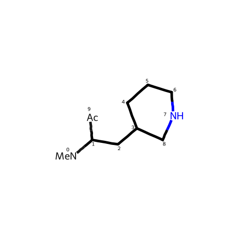 CNC(CC1CCCNC1)C(C)=O